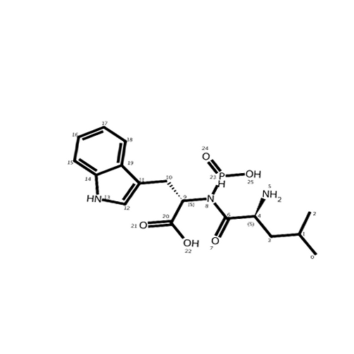 CC(C)C[C@H](N)C(=O)N([C@@H](Cc1c[nH]c2ccccc12)C(=O)O)[PH](=O)O